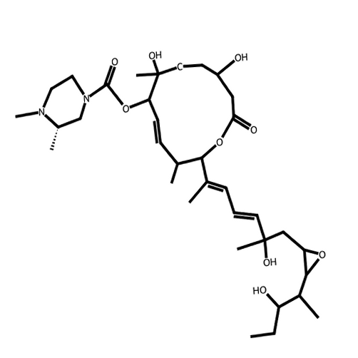 CCC(O)C(C)C1OC1CC(C)(O)/C=C/C=C(\C)C1OC(=O)CC(O)CCC(C)(O)C(OC(=O)N2CCN(C)[C@@H](C)C2)/C=C/C1C